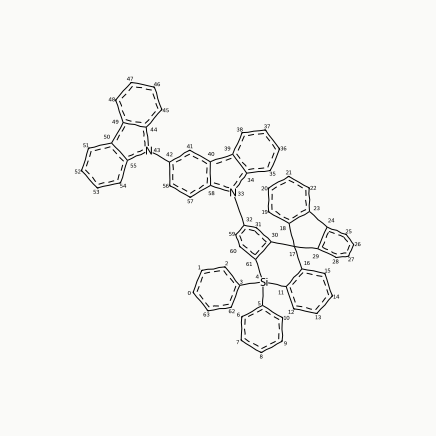 c1ccc([Si]2(c3ccccc3)c3ccccc3C3(c4ccccc4-c4ccccc43)c3cc(-n4c5ccccc5c5cc(-n6c7ccccc7c7ccccc76)ccc54)ccc32)cc1